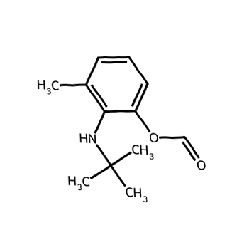 Cc1cccc(OC=O)c1NC(C)(C)C